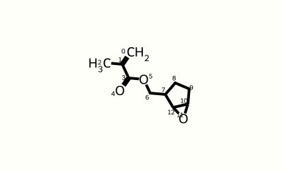 C=C(C)C(=O)OCC1CCC2OC12